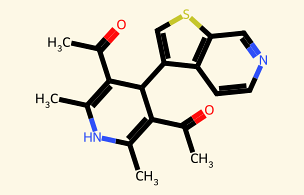 CC(=O)C1=C(C)NC(C)=C(C(C)=O)C1c1csc2cnccc12